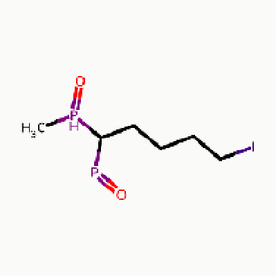 C[PH](=O)C(CCCCI)P=O